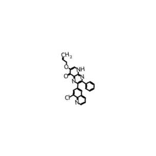 C=CCOc1c[nH]c2nc(-c3ccccc3)c(-c3cc(Cl)c4ncccc4c3)nc2c1=O